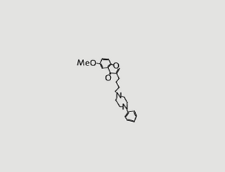 COc1ccc2occ(CCCCN3CCN(c4ccccc4)CC3)c(=O)c2c1